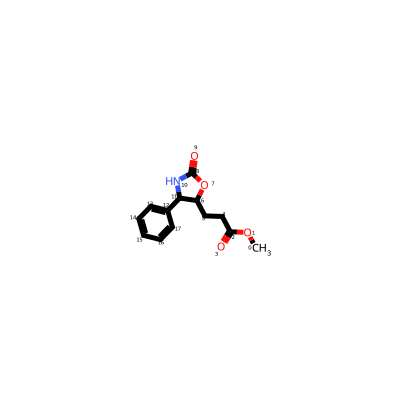 COC(=O)CCC1OC(=O)NC1c1ccccc1